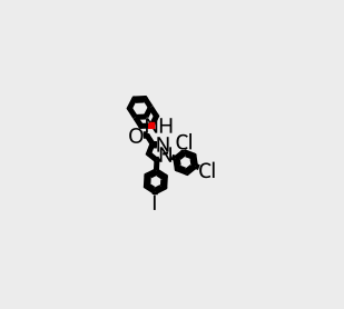 O=C(NC1C2C=CCC1CCC2)C1=NN(c2ccc(Cl)cc2Cl)C(c2ccc(I)cc2)C1